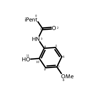 CCCC(C)C(=O)Nc1ccc(OC)cc1O